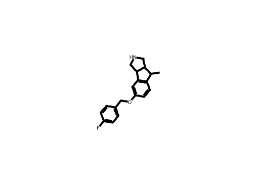 CC1c2ccc(OCc3ccc(F)cc3)cc2C2CNCC12